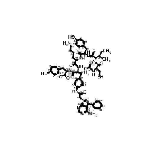 CCC(C)C(NC(=O)C(CS)NC(C)=O)C(=O)NC(Cc1ccc(O)cc1)C(=O)NC(CCCCN)C(=O)NC(Cc1ccc(NC(=O)Cn2nc(-c3ccccc3)c3c(N)ncnc32)cc1)C(=O)NC(Cc1ccc(O)cc1)C(=O)O